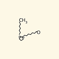 CCCCCCCC[C@H]1CCC[C@@H]1CCCCCCC=O